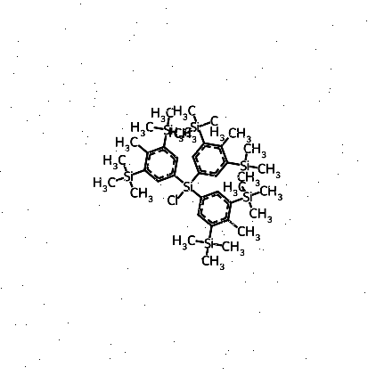 Cc1c([Si](C)(C)C)cc([Si](Cl)(c2cc([Si](C)(C)C)c(C)c([Si](C)(C)C)c2)c2cc([Si](C)(C)C)c(C)c([Si](C)(C)C)c2)cc1[Si](C)(C)C